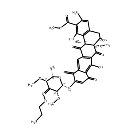 COC(=O)c1c(C)cc2c(c1O)[C@]1(O)C(=O)c3cc4c(c(O)c3C(=O)[C@]1(OC)[C@H](O)C2)C(=O)C=C(N[C@H]1O[C@@H](C)[C@H](OC)C(=NOCCN)[C@H]1OC)C4=O